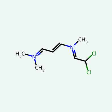 C[N+](C)=CC=C[N+](C)=CC(Cl)Cl